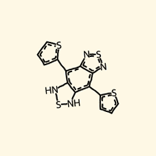 c1csc(-c2c3c(c(-c4cccs4)c4nsnc24)NSN3)c1